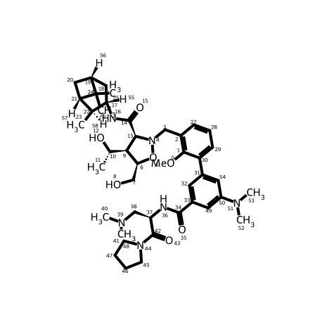 COc1c(CN2O[C@@H](CO)[C@@H]([C@H](C)O)[C@H]2C(=O)N[C@H]2C[C@H]3C[C@@H]([C@@H]2C)C3(C)C)cccc1-c1cc(C(=O)N[C@H](CN(C)C)C(=O)N2CCCC2)cc(N(C)C)c1